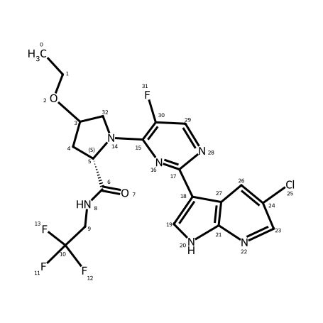 CCOC1C[C@@H](C(=O)NCC(F)(F)F)N(c2nc(-c3c[nH]c4ncc(Cl)cc34)ncc2F)C1